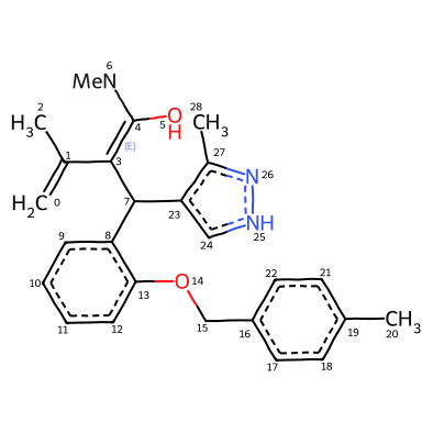 C=C(C)/C(=C(/O)NC)C(c1ccccc1OCc1ccc(C)cc1)c1c[nH]nc1C